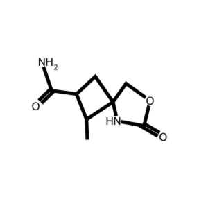 CC1C(C(N)=O)CC12COC(=O)N2